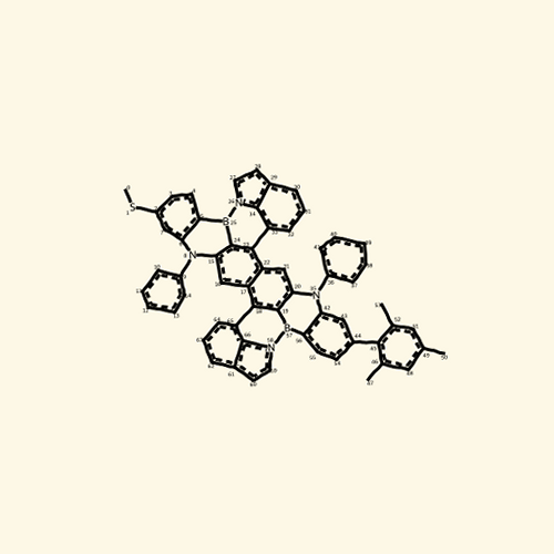 CSc1ccc2c(c1)N(c1ccccc1)c1cc3c4c5c(cc3c3c1B2n1ccc2cccc-3c21)N(c1ccccc1)c1cc(-c2c(C)cc(C)cc2C)ccc1B5n1ccc2cccc-4c21